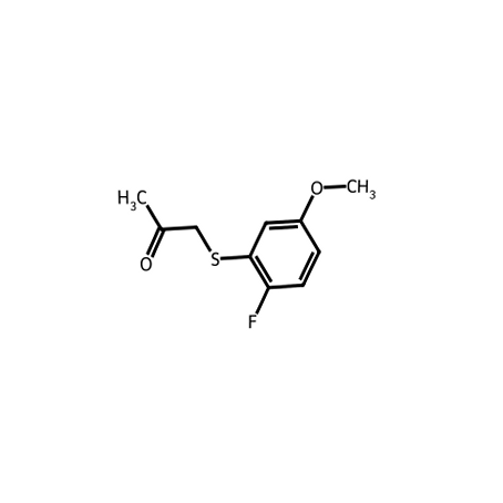 COc1ccc(F)c(SCC(C)=O)c1